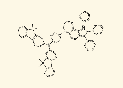 CC1(C)c2ccccc2-c2ccc(N(c3ccc(-c4cccc5c4ccc4c(-c6ccccc6)c(-c6ccccc6)n(-c6ccccc6)c45)cc3)c3ccc4c(c3)C(C)(C)c3ccccc3-4)cc21